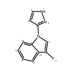 Fc1cn(-c2cc[nH]n2)c2ccccc12